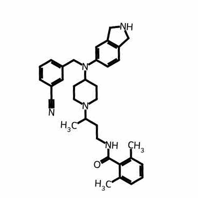 Cc1cccc(C)c1C(=O)NCCC(C)N1CCC(N(Cc2cccc(C#N)c2)c2ccc3c(c2)CNC3)CC1